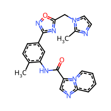 Cc1ccc(-c2noc(Cn3ccnc3C)n2)cc1NC(=O)c1cnc2ccccn12